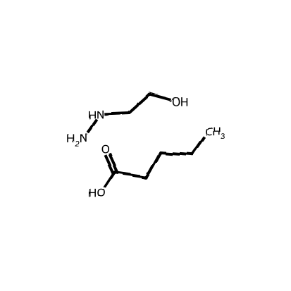 CCCCC(=O)O.NNCCO